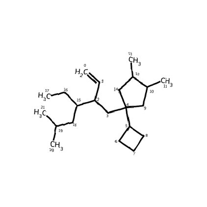 C=CC(CC1(C2CCC2)CC(C)C(C)C1)C(CC)CC(C)C